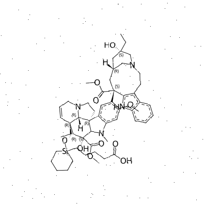 CC[C@]1(O)C[C@@H]2CN(CCc3c([nH]c4ccccc34)[C@@](C(=O)OC)(c3cc4c(cc3OC)N(C)C3[C@]45CCN4CC=C[C@@](CC)([C@@H](O[Si]6(CCCCC(=O)O)CCCCC6)[C@]3(O)C(=O)OC)[C@H]45)C2)C1